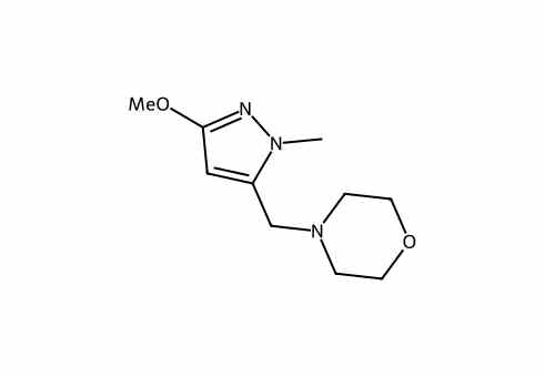 COc1cc(CN2CCOCC2)n(C)n1